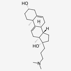 CN(C)CCC[C@]1(O)CC[C@H]2[C@@H]3CC=C4C[C@@H](O)CC[C@]4(C)C3=CC[C@@]21C